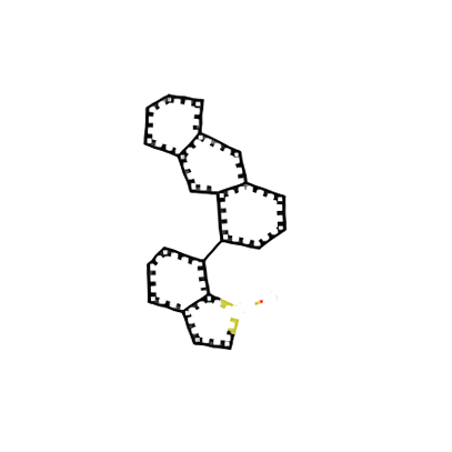 [O-][s+]1ccc2cccc(-c3cc[c]c4cc5ccccc5cc34)c21